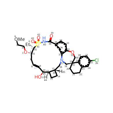 CC[C@H]1[C@@H](OCCOC)C/C=C/[C@H](O)[C@@H]2CC[C@H]2CN2C[C@@]3(CCCc4cc(Cl)ccc43)COc3ccc(cc32)C(=O)NS1(=O)=O